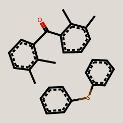 Cc1cccc(C(=O)c2cccc(C)c2C)c1C.c1ccc(Sc2ccccc2)cc1